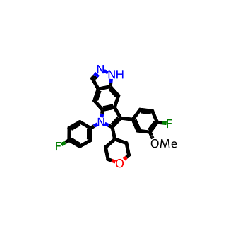 COc1cc(-c2c(C3CCOCC3)n(-c3ccc(F)cc3)c3cc4cn[nH]c4cc23)ccc1F